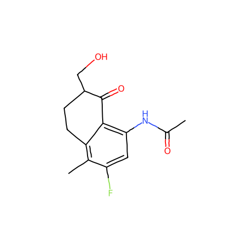 CC(=O)Nc1cc(F)c(C)c2c1C(=O)C(CO)CC2